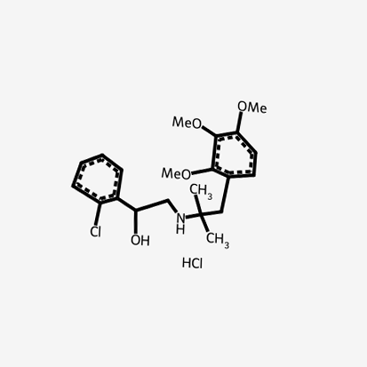 COc1ccc(CC(C)(C)NCC(O)c2ccccc2Cl)c(OC)c1OC.Cl